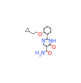 NC(=O)c1cnc(-c2ccccc2OCCC2CC2)[nH]c1=O